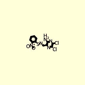 Nc1nc(Cl)c(Cl)nc1C=NSc1ccccc1[N+](=O)[O-]